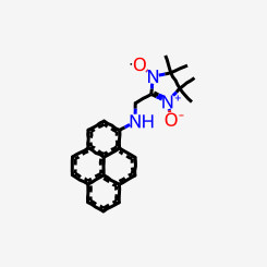 CC1(C)N([O])C(CNc2ccc3ccc4cccc5ccc2c3c45)=[N+]([O-])C1(C)C